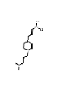 CCN(CC)CCCN1CCN(CCCN(C)C)CC1